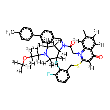 [2H]c1c(C)c([2H])c2c(c1[2H])c(=O)c([2H])c(SCc1cccc(F)c1F)n2CC(=O)N(Cc1ccc(-c2ccc(C(F)(F)F)cc2)cc1)C1([2H])C([2H])([2H])C([2H])([2H])N(C([2H])([2H])C([2H])([2H])OC([2H])([2H])[2H])C([2H])([2H])C1([2H])[2H]